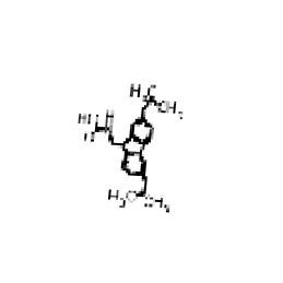 CC(C)Cc1ccc2c(c1)-c1ccc(CC(C)C)cc1C2CNC(=O)O